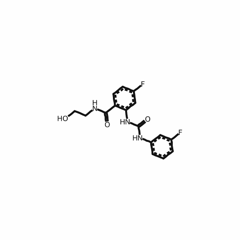 O=C(Nc1cccc(F)c1)Nc1cc(F)ccc1C(=O)NCCO